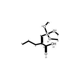 CCCC(=C[Si](OC)(OC)OC)C(=O)O